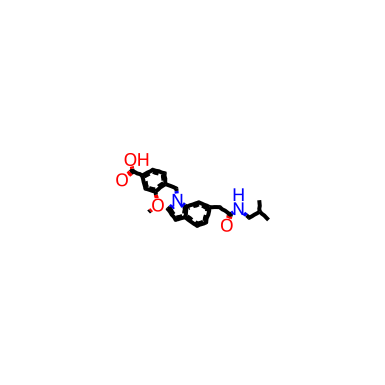 COc1cc(C(=O)O)ccc1Cn1ccc2ccc(CC(=O)NCC(C)C)cc21